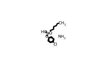 CCCCCCOB(O)Oc1ccc(Cl)cc1.N